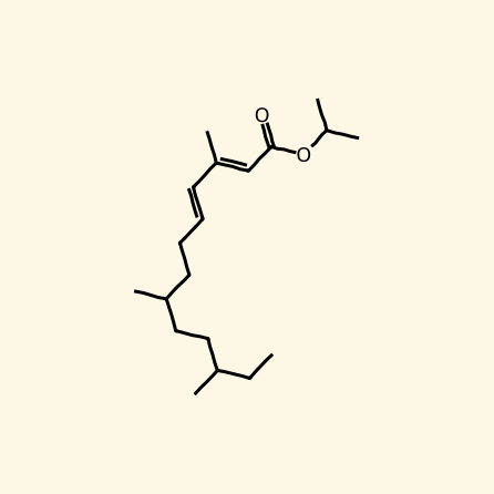 CCC(C)CCC(C)CCC=CC(C)=CC(=O)OC(C)C